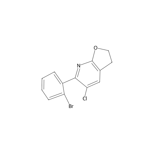 Clc1cc2c(nc1-c1ccccc1Br)OCC2